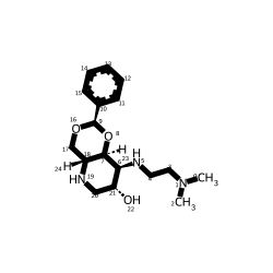 CN(C)CCN[C@@H]1[C@@H]2O[C@H](c3ccccc3)OC[C@H]2NC[C@H]1O